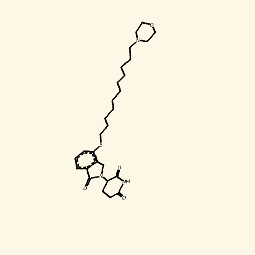 O=C1CCC(N2Cc3c(SCCCCCCCCCCCN4CCOCC4)cccc3C2=O)C(=O)N1